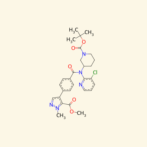 COC(=O)c1c(-c2ccc(C(=O)N(c3ncccc3Cl)C3CCCN(C(=O)OC(C)(C)C)C3)cc2)cnn1C